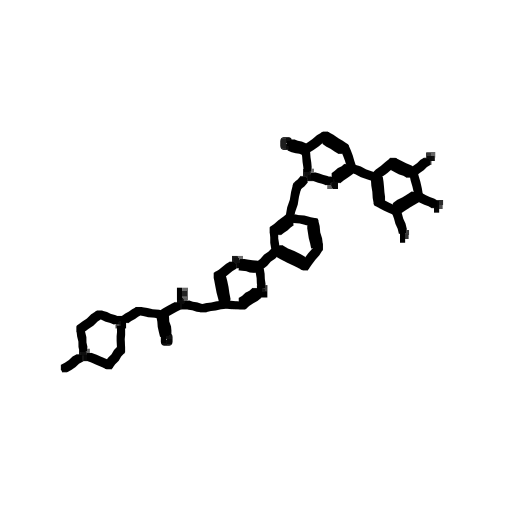 CN1CCN(CC(=O)NCc2cnc(-c3cccc(Cn4nc(-c5cc(F)c(F)c(F)c5)ccc4=O)c3)nc2)CC1